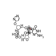 Nc1nc2c(ncn2[C@]23CO[C@@H](COP(=O)(S)O[C@H]4C[C@H](Oc5ccncn5)C[C@@H]4COP(=O)(S)O2)[C@H]3O)c(=O)[nH]1